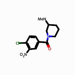 CNC1CCCN(C(=O)c2ccc(Cl)c([N+](=O)[O-])c2)C1